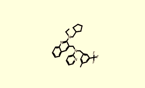 CCN(CC1CCCC1)c1nc2ccccc2cc1CN(Cc1cc(C)cc(C(F)(F)F)c1)c1ccccn1